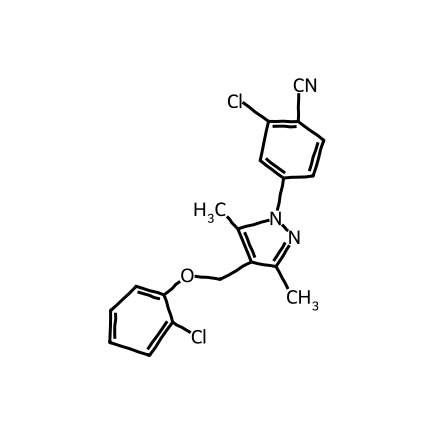 Cc1nn(-c2ccc(C#N)c(Cl)c2)c(C)c1COc1ccccc1Cl